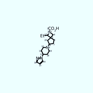 CCC1N(C(=O)O)CC12CCC(N1CCC(n3cccn3)CC1)C2